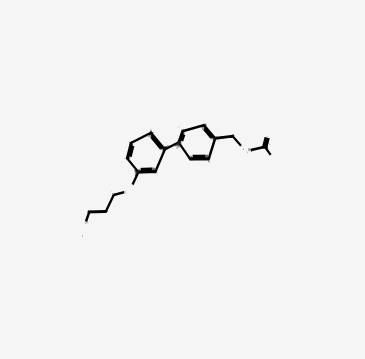 O=C(O)NCc1ccc(-c2cccc(OCCCCl)c2)cc1